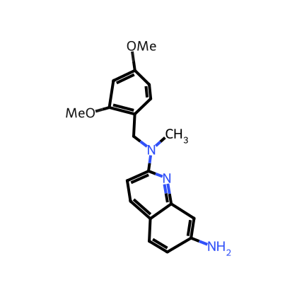 COc1ccc(CN(C)c2ccc3ccc(N)cc3n2)c(OC)c1